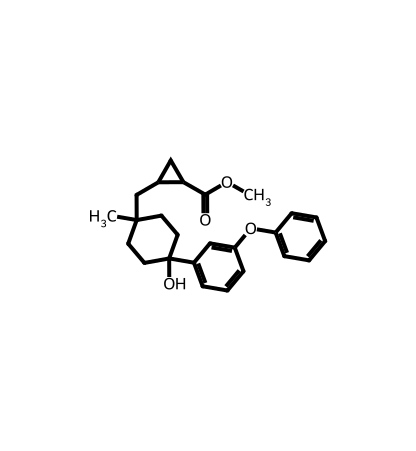 COC(=O)C1CC1CC1(C)CCC(O)(c2cccc(Oc3ccccc3)c2)CC1